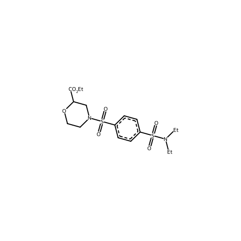 CCOC(=O)C1CN(S(=O)(=O)c2ccc(S(=O)(=O)N(CC)CC)cc2)CCO1